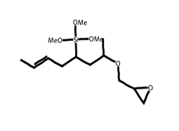 CC=CCC(CC(C)OCC1CO1)[Si](OC)(OC)OC